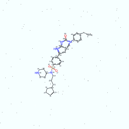 CNCc1ccc(-n2cc3cc(-c4ccc(S(=O)(=O)N(CCCC5CCCC5)C5CCNCC5)cc4)[nH]c3nc2=O)cc1